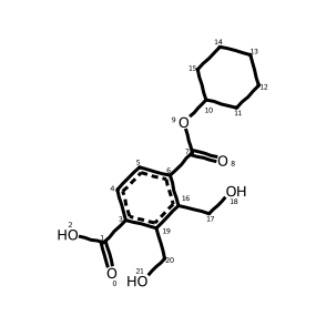 O=C(O)c1ccc(C(=O)OC2CCCCC2)c(CO)c1CO